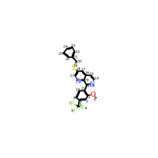 COc1cc(C(F)(F)F)ccc1-c1nccc2cc(SCc3ccccc3)cnc12